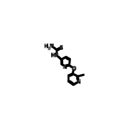 Cc1ncccc1Oc1ccc(NC(N)=S)cn1